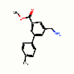 CC(C)(C)OC(=O)c1cc(CN)cc(-c2ccc(C(F)(F)F)cc2)c1